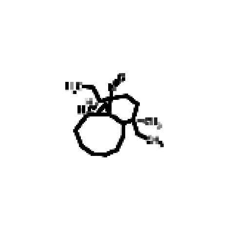 CC[C@@H](C)C1(N=O)CC[C@@](C)(CC)C2CCCCCCC[C@H]3CC231